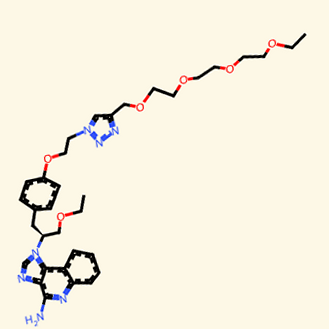 CCOCCOCCOCCOCc1cn(CCOc2ccc(C[C@@H](COCC)n3cnc4c(N)nc5ccccc5c43)cc2)nn1